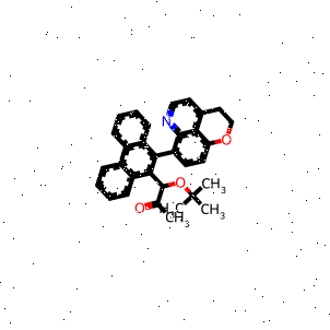 CC(=O)C(OC(C)(C)C)c1c(-c2ccc3c4c(ccnc24)CCO3)c2ccccc2c2ccccc12